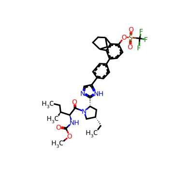 CC[C@H]1C[C@@H](c2ncc(-c3ccc(-c4ccc(OS(=O)(=O)C(F)(F)F)c5c4C4CCC5C4)cc3)[nH]2)N(C(=O)[C@@H](NC(=O)OC)[C@@H](C)CC)C1